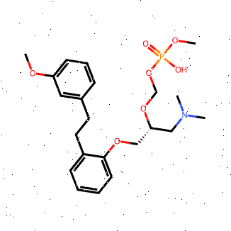 COc1cccc(CCc2ccccc2OC[C@@H](CN(C)C)OCOP(=O)(O)OC)c1